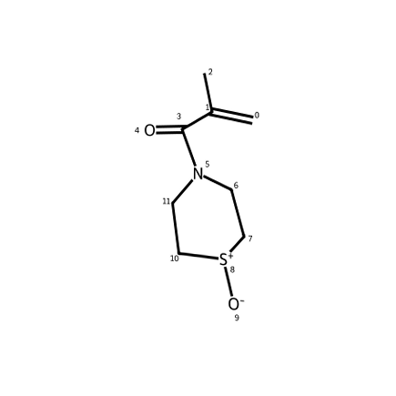 C=C(C)C(=O)N1CC[S+]([O-])CC1